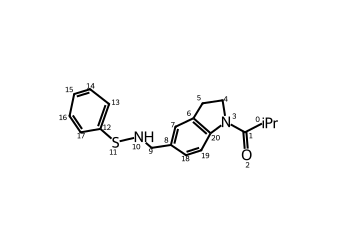 CC(C)C(=O)N1CCc2cc(CNSc3ccccc3)ccc21